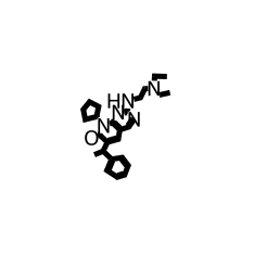 CCN(CC)CCNc1ncc2cc(C(C)c3ccccc3)c(=O)n(C3CCCC3)c2n1